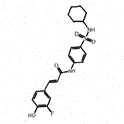 O=C(C=Cc1ccc(O)c(F)c1)Nc1ccc(S(=O)(=O)NC2CCCCC2)cc1